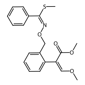 CO/C=C(\C(=O)OC)c1ccccc1CO/N=C(/SC)c1ccccc1